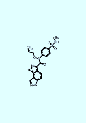 C=CCON(C(=O)c1n[nH]c2c3c(ccc12)[N]N=C3)c1ccc(S(=O)(=O)NCCCC)cc1